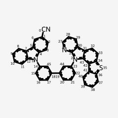 N#Cc1ccc2c(c1)c1ccccc1n2-c1cccc(-c2cccc(-n3c4ncccc4c4ccc5sc6ccccc6c5c43)c2)c1